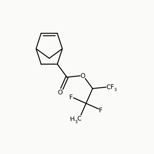 CC(F)(F)C(OC(=O)C1CC2C=CC1C2)C(F)(F)F